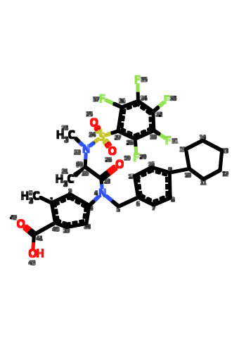 Cc1cc(N(Cc2ccc(C3CCCCC3)cc2)C(=O)[C@@H](C)N(C)S(=O)(=O)c2c(F)c(F)c(F)c(F)c2F)ccc1C(=O)O